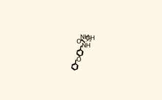 NC(=O)[C@H](CO)NCc1ccc(OCc2ccccc2)cc1